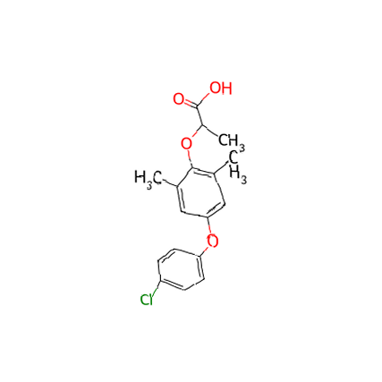 Cc1cc(Oc2ccc(Cl)cc2)cc(C)c1OC(C)C(=O)O